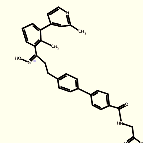 Cc1cc(-c2cccc(/C(CCc3ccc(-c4ccc(C(=O)NCC(=O)O)cc4)cc3)=N\O)c2C)ccn1